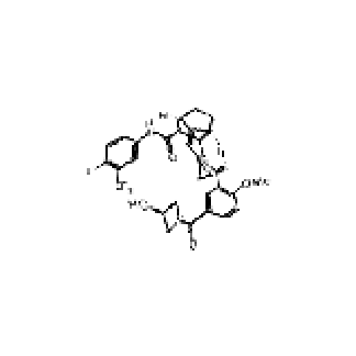 COc1ccc(C(=O)N2CC(O)C2)cc1C(=O)N[C@H]1[C@@H](C(=O)Nc2ccc(F)c(C(F)(F)F)c2)[C@H]2CC[C@@H]1/C2=C\C1CC1